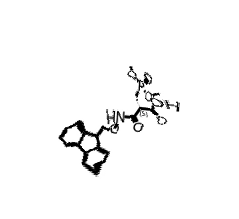 COP(=O)(C[C@H](C(=O)O)C(=O)NOCC1c2ccccc2-c2ccccc21)OC